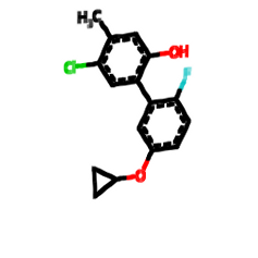 Cc1cc(O)c(-c2cc(OC3CC3)ccc2F)cc1Cl